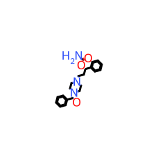 NC(=O)OC(CCN1CCN(C(=O)c2ccccc2)CC1)c1ccccc1